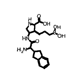 NC(C(=O)NC1CNC(C(=O)O)C1CCCB(O)O)C1Cc2ccccc2C1